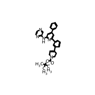 CC(C)(C)OC(=O)N1CC=C(c2cccc(-c3cc(-c4ccccc4)cc(Nc4cnccn4)n3)c2)CC1